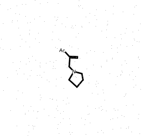 C=C(CN1CCCC1)C(C)=O